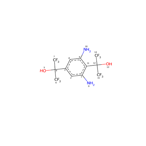 Nc1cc(C(O)(C(F)(F)F)C(F)(F)F)cc(N)c1C(O)(C(F)(F)F)C(F)(F)F